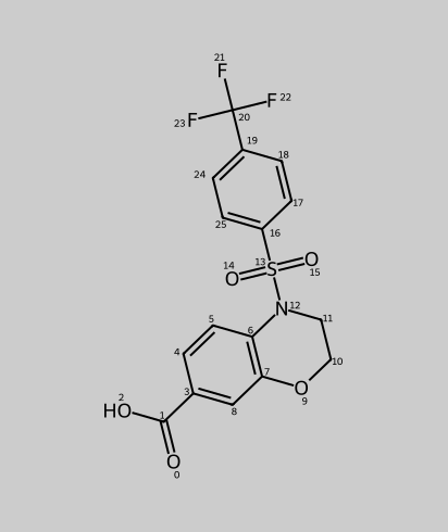 O=C(O)c1ccc2c(c1)OCCN2S(=O)(=O)c1ccc(C(F)(F)F)cc1